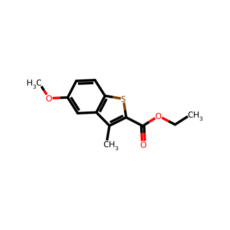 CCOC(=O)c1sc2ccc(OC)cc2c1C